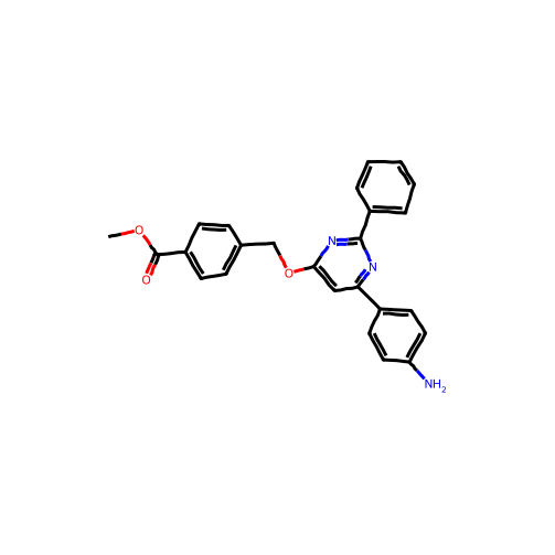 COC(=O)c1ccc(COc2cc(-c3ccc(N)cc3)nc(-c3ccccc3)n2)cc1